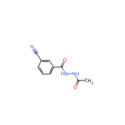 CC(=O)NNC(=O)c1cccc(C#N)c1